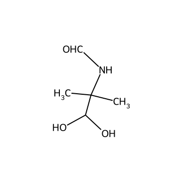 CC(C)(NC=O)C(O)O